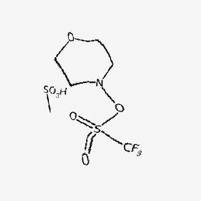 CS(=O)(=O)O.O=S(=O)(ON1CCOCC1)C(F)(F)F